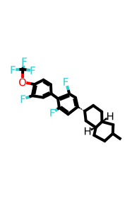 CC1CC[C@@H]2C[C@H](c3cc(F)c(-c4ccc(OC(F)(F)F)c(F)c4)c(F)c3)CC[C@@H]2C1